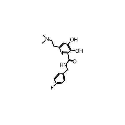 CN(C)CCc1cc(O)c(O)c(C(=O)NCc2ccc(F)cc2)n1